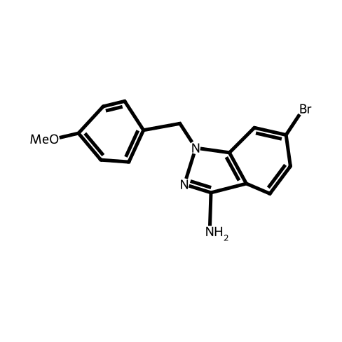 COc1ccc(Cn2nc(N)c3ccc(Br)cc32)cc1